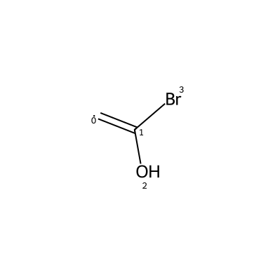 [CH]=C(O)Br